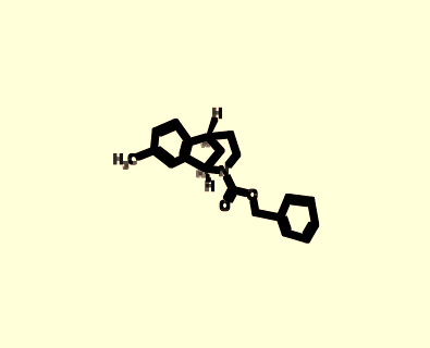 Cc1ccc2c(c1)[C@H]1C[C@H]2CCN1C(=O)OCc1ccccc1